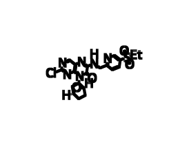 CCS(=O)(=O)c1ccc(CNc2nc3cnc(Cl)nc3n([C@@H]3C[C@@H]4CC[C@H]3O4)c2=O)nc1